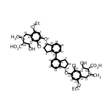 CCOc1cc(O[C@H]2CCc3c(-c4cccc5c4CC[C@@H]5Oc4cc(OCC)c(CN(C)[C@@H](CO)C(=O)O)cc4Cl)cccc32)c(Cl)cc1CN(C)[C@@H](CO)C(=O)O